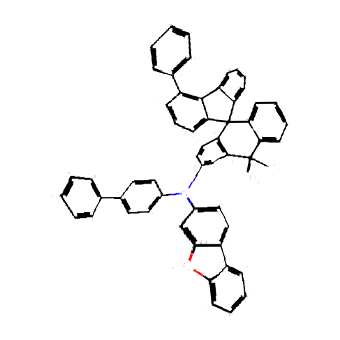 CC1(C)c2ccccc2C2(c3ccccc3-c3c(-c4ccccc4)cccc32)c2ccc(N(c3ccc(-c4ccccc4)cc3)c3ccc4c(c3)oc3ccccc34)cc21